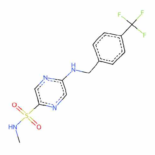 CNS(=O)(=O)c1cnc(NCc2ccc(C(F)(F)F)cc2)cn1